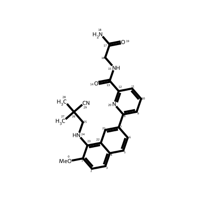 COc1ccc2ccc(-c3cccc(C(=O)NCC(N)=O)n3)cc2c1NCC(C)(C)C#N